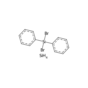 Br[Si](Br)(c1ccccc1)c1ccccc1.[SiH4]